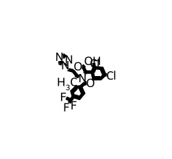 CC1C(Cn2cncn2)OC(O)C(c2ccc(Cl)cc2Cl)N1C(=O)c1ccc(C(F)(F)F)cc1